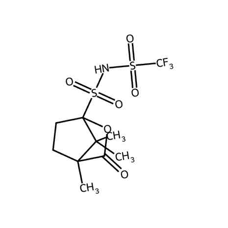 CC12CCC(S(=O)(=O)NS(=O)(=O)C(F)(F)F)(OC1=O)C2(C)C